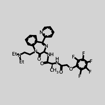 CCN(CC)CCN1C(=O)C(NC(=O)[C@H](C)NC(=O)COc2c(F)c(F)c(F)c(F)c2F)N=C(c2ccccn2)c2ccccc21